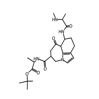 CNC(C)C(=O)NC1CCc2ccn3c2C1C(=O)CC(C(=O)NC(C)C(=O)OC(C)(C)C)C3